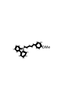 COc1ccc(C[CH]CCCn2c3ccccc3c3ccccc32)cc1